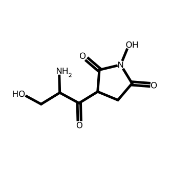 NC(CO)C(=O)C1CC(=O)N(O)C1=O